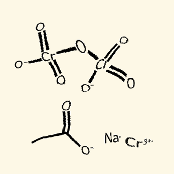 CC(=O)[O-].[Cr+3].[Na].[O]=[Cr](=[O])([O-])[O][Cr](=[O])(=[O])[O-]